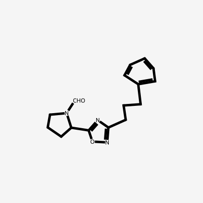 O=CN1CCCC1c1nc(CCCc2ccccc2)no1